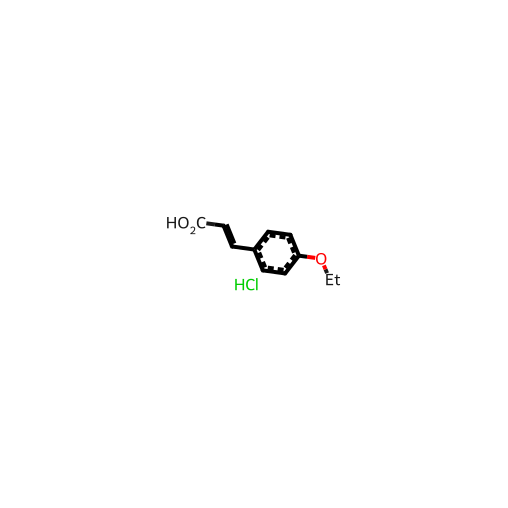 CCOc1ccc(C=CC(=O)O)cc1.Cl